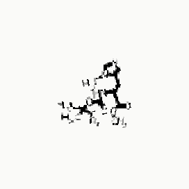 COC(=O)C(Cc1cncn1C)NC(=O)OC(C)(C)C